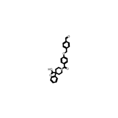 O=Cc1ccc(COc2ccc(C(=O)N3CCC(C(=O)O)(c4ccccc4)CC3)cc2)cc1